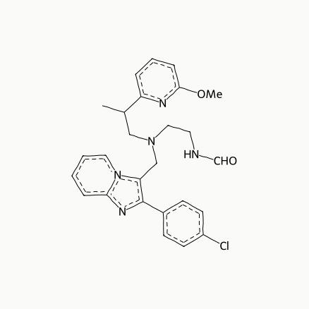 COc1cccc(C(C)CN(CCNC=O)Cc2c(-c3ccc(Cl)cc3)nc3ccccn23)n1